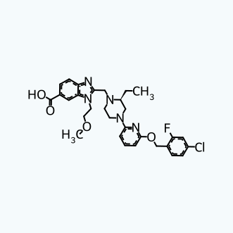 CC[C@H]1CN(c2cccc(OCc3ccc(Cl)cc3F)n2)CCN1Cc1nc2ccc(C(=O)O)cc2n1CCOC